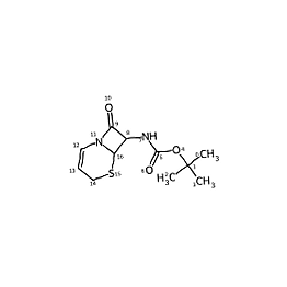 CC(C)(C)OC(=O)NC1C(=O)N2C=CCSC12